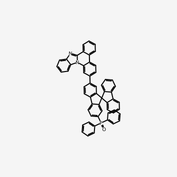 O=P(c1ccccc1)(c1ccccc1)c1ccc2c(c1)C1(c3ccccc3-c3ccccc31)c1cc(-c3ccc4c5ccccc5c5nc6ccccc6n5c4c3)ccc1-2